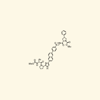 COC(=O)NC(C(=O)N1CCCC1c1nc(-c2ccc3cc(-c4ccc(C(=O)CNC(=O)C5CC(c6ccccc6)CN5C(=O)OC(C)(C)C)cc4)ccc3c2)c[nH]1)C(C)C